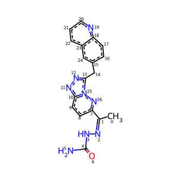 C/C(=N/NC(N)=O)c1ccc2nnc(Cc3ccc4ncccc4c3)n2n1